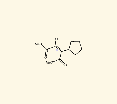 CC/C(C(=O)OC)=C(/C(=O)OC)C1CCCC1